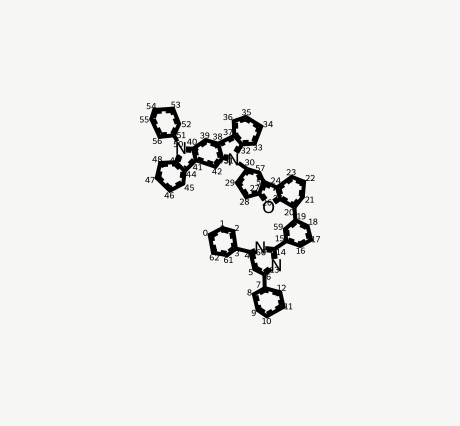 c1ccc(-c2cc(-c3ccccc3)nc(-c3cccc(-c4cccc5c4oc4ccc(-n6c7ccccc7c7cc8c(cc76)c6ccccc6n8-c6ccccc6)cc45)c3)n2)cc1